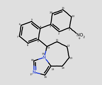 O=[N+]([O-])C1C=C(c2ccccc2C2CCCCc3cncn32)C=CC1